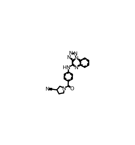 N#CC1CCN(C(=O)c2ccc(Nc3nc4ccccc4n4nnnc34)cc2)C1